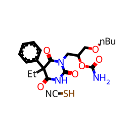 CCCCOCC(CN1C(=O)NC(=O)C(CC)(c2ccccc2)C1=O)OC(N)=O.N#CS